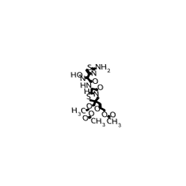 CC(=O)OCC=CC1(C(=O)OC(C)OC(C)=O)CS[C@@H]2C(NC(=O)C(=NO)c3csc(N)n3)C(=O)N2C1